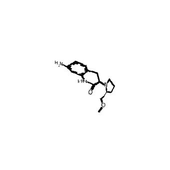 COC[C@@H]1CCCN1C1Cc2ccc(N)cc2NC1=O